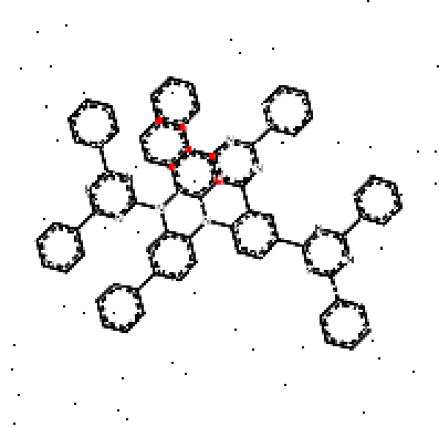 c1ccc(-c2ccc3c(c2)N(c2nc(-c4ccccc4)nc(-c4ccccc4)n2)c2cc(-c4ccccc4)ccc2N3c2ccc(-c3nc(-c4ccccc4)nc(-c4ccccc4)n3)cc2-c2nc(-c3ccccc3)nc(-c3ccccc3)n2)cc1